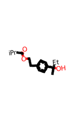 CCC(C)(O)c1ccc(CCOC(=O)C(C)C)cc1